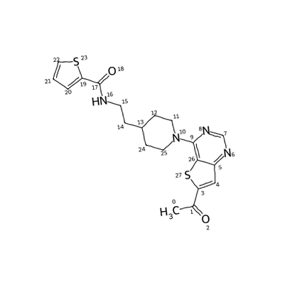 CC(=O)c1cc2ncnc(N3CCC(CCNC(=O)c4cccs4)CC3)c2s1